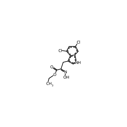 CCOC(=O)C(Cc1c[nH]c2cc(Cl)cc(Cl)c12)=NO